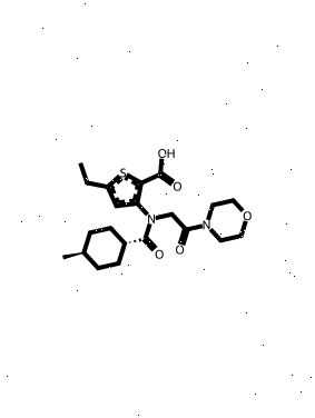 CCc1cc(N(CC(=O)N2CCOCC2)C(=O)[C@H]2CC[C@H](C)CC2)c(C(=O)O)s1